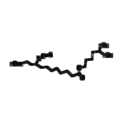 CCCCCCCCCCCCC(CCCCCCCC(=O)OCCCCC(CCCC)CCCC)N=C=S